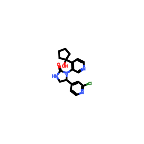 O=C1NCC(c2ccnc(Cl)c2)N1c1cnccc1C1(O)CCCC1